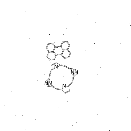 C1=Cc2cc3ccc(cc4nc(cc5ccc(cc1n2)[nH]5)C=C4)[nH]3.c1cc2cccc3c4cccc5cccc(c(c1)c23)c54